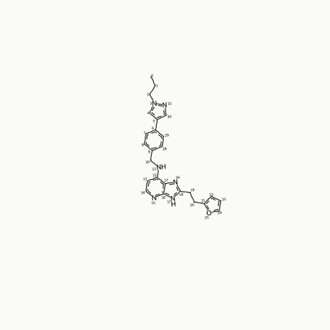 CCCn1cc(-c2ccc(CNc3ccnc4[nH]c(CCc5ccco5)nc34)cc2)cn1